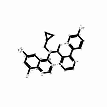 CC(c1nccnc1-c1ccc(C#N)cn1)N(CC1CC1)c1ncnc2c(Cl)cc(C(F)(F)F)cc12